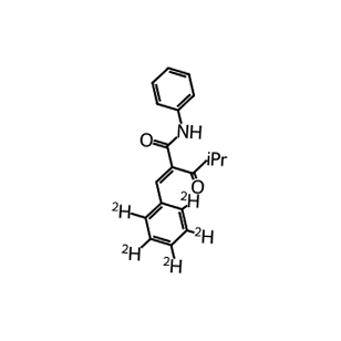 [2H]c1c([2H])c([2H])c(C=C(C(=O)Nc2ccccc2)C(=O)C(C)C)c([2H])c1[2H]